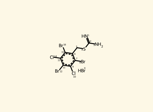 Br.N=C(N)SCc1c(Br)c(Cl)c(Br)c(Cl)c1Br